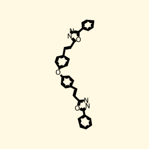 C(=Cc1nnc(-c2ccccc2)o1)c1ccc(Oc2ccc(C=Cc3nnc(-c4ccccc4)o3)cc2)cc1